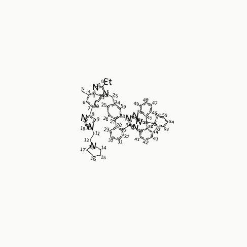 CCc1nc2c(C)cc(-c3cn(CCN4CCCC4)cn3)cc2n1Cc1ccc(-c2ccccc2-c2nnn(C(c3ccccc3)(c3ccccc3)c3ccccc3)n2)cc1